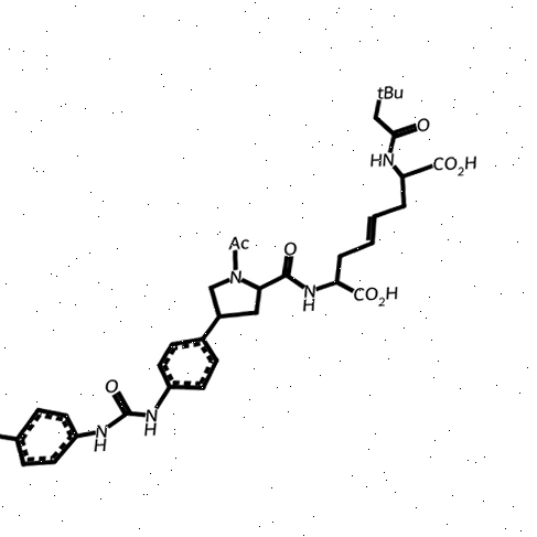 CC(=O)N1CC(c2ccc(NC(=O)Nc3ccc(O)cc3)cc2)CC1C(=O)NC(CC=CCC(NC(=O)CC(C)(C)C)C(=O)O)C(=O)O